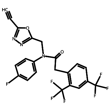 C#Cc1nnc(CN(C(=O)Cc2ccc(C(F)(F)F)cc2C(F)(F)F)c2ccc(F)cc2)o1